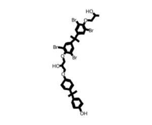 CC(O)COc1c(Br)cc(C(C)(C)c2cc(Br)c(OCC(O)COc3ccc(C(C)(C)c4ccc(O)cc4)cc3)c(Br)c2)cc1Br